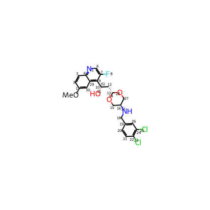 COc1ccc2ncc(F)c([C@@H](O)C[C@H]3OC[C@H](NCc4ccc(Cl)c(Cl)c4)CO3)c2c1